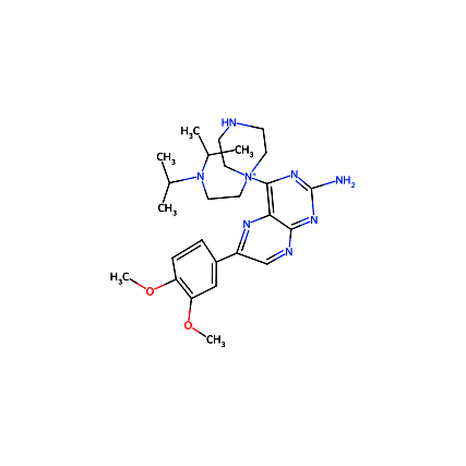 COc1ccc(-c2cnc3nc(N)nc([N+]4(CCN(C(C)C)C(C)C)CCNCC4)c3n2)cc1OC